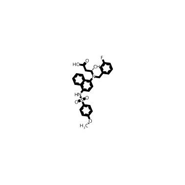 COc1ccc(S(=O)(=O)Nc2ccc(N(Cc3cccc(F)c3)[C@@H](C)CC(=O)O)c3ccccc23)cc1